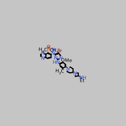 CCNC1CN(C2CCN(c3cc(OC)c(Nc4ncc(Br)c(Nc5ccc6nccnc6c5P(C)(C)=O)n4)cc3C)CC2)C1